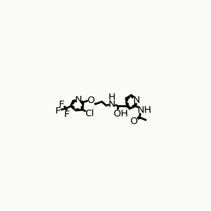 CC(=O)Nc1cc(C(O)NCCCOc2ncc(C(F)(F)F)cc2Cl)ccn1